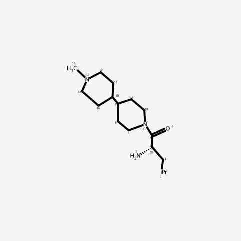 CC(C)C[C@H](N)C(=O)N1CCC(C2CCN(C)CC2)CC1